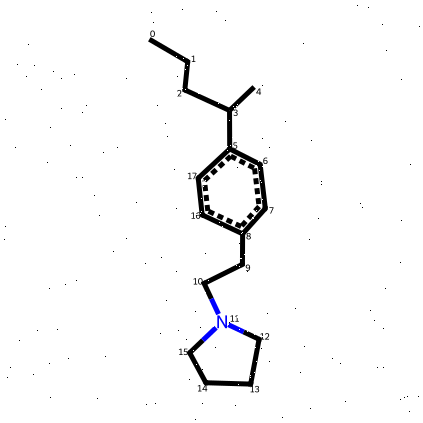 CCCC(C)c1ccc(CCN2CCCC2)cc1